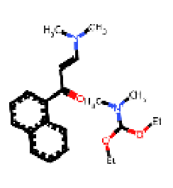 CCOC(OCC)N(C)C.CN(C)C=CC(=O)c1cccc2ccccc12